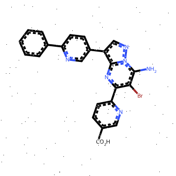 Nc1c(Br)c(-c2ccc(C(=O)O)cn2)nc2c(-c3ccc(-c4ccccc4)nc3)cnn12